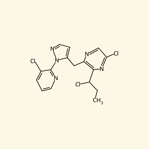 CCC(Cl)c1nc(Cl)cnc1Cc1ccnn1-c1ncccc1Cl